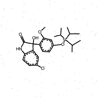 COc1cc(O[Si](C(C)C)(C(C)C)C(C)C)ccc1C1(O)C(=O)Nc2ccc(Cl)cc21